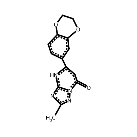 Cc1nc2[nH]c(-c3ccc4c(c3)OCCO4)cc(=O)n2n1